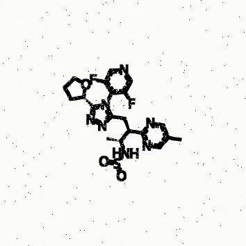 Cc1cnc([C@H](Cc2nnc([C@@H]3CCCO3)n2-c2c(F)cncc2F)[C@@H](C)N[SH](=O)=O)nc1